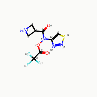 O=C(C1CNC1)N(OC(=O)C(F)(F)F)c1csnn1